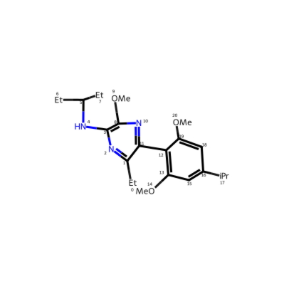 CCc1nc(NC(CC)CC)c(OC)nc1-c1c(OC)cc(C(C)C)cc1OC